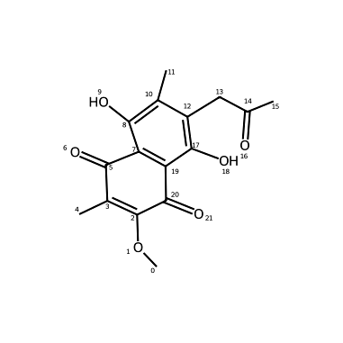 COC1=C(C)C(=O)c2c(O)c(C)c(CC(C)=O)c(O)c2C1=O